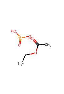 CCOC(C)=O.O=[PH](O)O